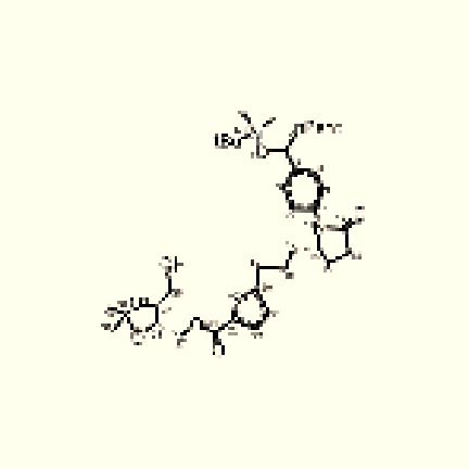 CCCCCC(O[Si](C)(C)C(C)(C)C)c1ccc(N2C(=O)CC[C@@H]2CCCc2ccc(C(=O)OC[C@@H]3OC(C)(C)O[C@H]3CO)s2)cc1